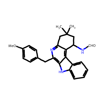 COc1ccc(Cc2nc3c(c4c2[nH]c2ccccc24)C(NC=O)CC(C)(C)C3)cc1